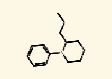 CCCC1CCCCN1c1ccccc1